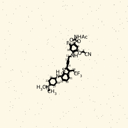 CC(=O)NS(=O)(=O)c1cc(OCC#N)c(NCC#Cc2sc3c(NC4CCC(N(C)C)CC4)cccc3c2CC(F)(F)F)cc1F